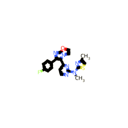 Cc1csc(N(C)c2nccc(-c3c(-c4ccc(F)cc4)nc4occn34)n2)n1